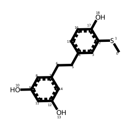 CSc1cc(CCc2cc(O)cc(O)c2)ccc1O